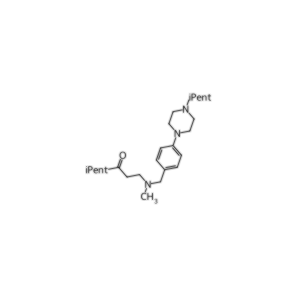 CCCC(C)C(=O)CCN(C)Cc1ccc(N2CCN(C(C)CCC)CC2)cc1